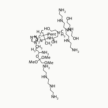 CCCC(C)C(C)(C)C(C)(N)N.CN(CCO)CCO.COCC(OC)(OC)OC(C)N.Cn1ccnc1.NCCNCCNCCN.NCCNCCNCCNCCN.OCCNCCO